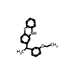 CCOc1cccc(C(C)c2ccc3c(c2)Nc2ccccc2S3)c1